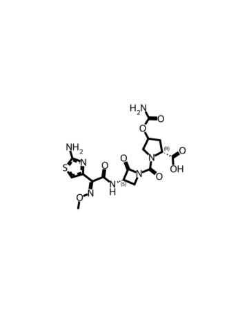 CON=C(C(=O)N[C@H]1CN(C(=O)N2CC(OC(N)=O)C[C@@H]2C(=O)O)C1=O)c1csc(N)n1